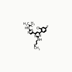 CSCCNc1nc(-c2cnc(NC(C)C)s2)cc(-c2ccc(F)cc2Cl)n1